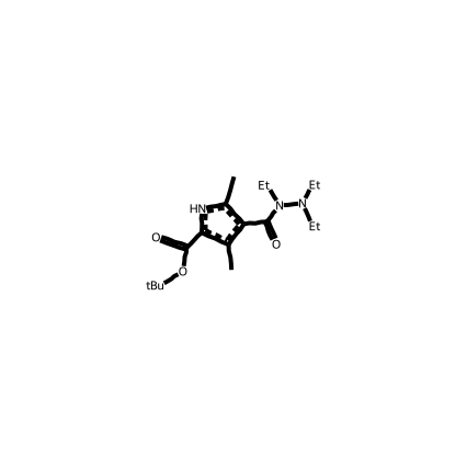 CCN(CC)N(CC)C(=O)c1c(C)[nH]c(C(=O)OC(C)(C)C)c1C